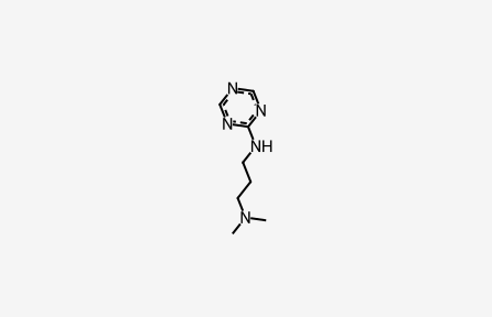 CN(C)CCCNc1ncncn1